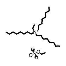 CCCCCCCC[N+](CC)(CCCCCCCC)CCCCCCCC.CCOS(=O)(=O)[O-]